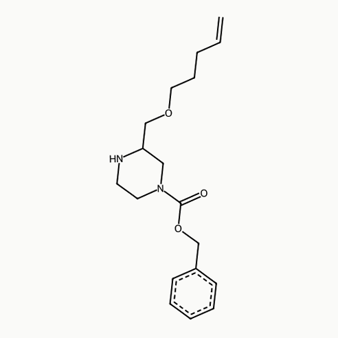 C=CCCCOCC1CN(C(=O)OCc2ccccc2)CCN1